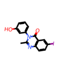 Cc1nc2ccc(I)cc2c(=O)n1-c1cccc(O)c1